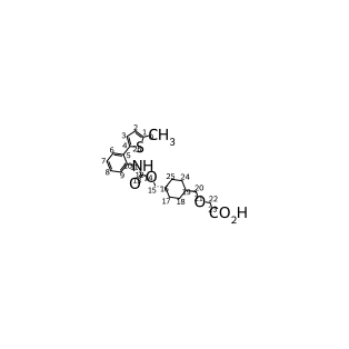 Cc1ccc(-c2ccccc2NC(=O)OC[C@H]2CC[C@H](COCC(=O)O)CC2)s1